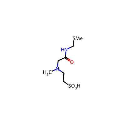 CSCNC(=O)CN(C)CCS(=O)(=O)O